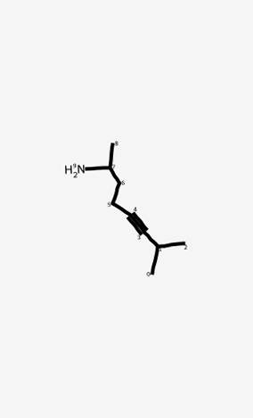 CC(C)C#CCCC(C)N